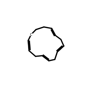 [C]1=C/C/C=C/C/C=C\CCC/C=C/C/1